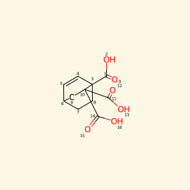 O=C(O)C12C=CC(CC1)CC2(C(=O)O)C(=O)O